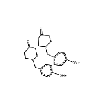 COc1ccc(CN2CCC(=O)CC2)cc1.COc1ccc(CN2CCC(=O)CC2)cc1